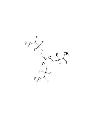 FC(C(F)(F)F)C(F)(F)COB(OCC(F)(F)C(F)C(F)(F)F)OCC(F)(F)C(F)C(F)(F)F